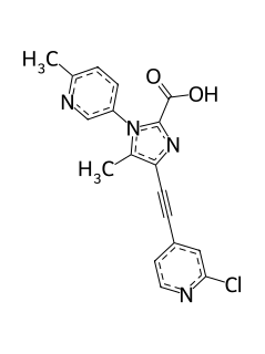 Cc1ccc(-n2c(C(=O)O)nc(C#Cc3ccnc(Cl)c3)c2C)cn1